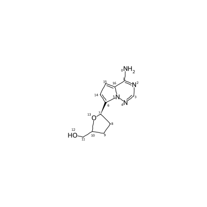 Nc1ncnn2c([C@H]3CCC(CO)O3)ccc12